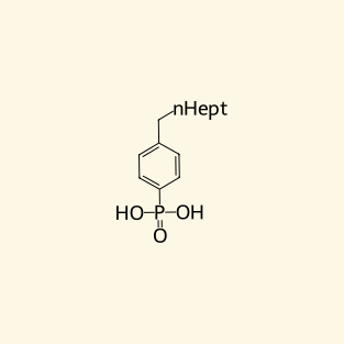 CCCCCCCCc1ccc(P(=O)(O)O)cc1